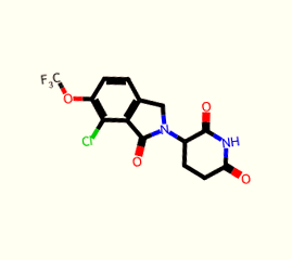 O=C1CCC(N2Cc3ccc(OC(F)(F)F)c(Cl)c3C2=O)C(=O)N1